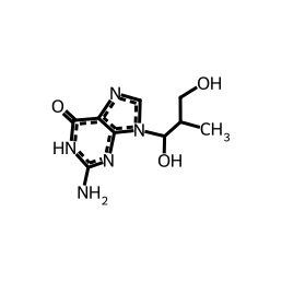 CC(CO)C(O)n1cnc2c(=O)[nH]c(N)nc21